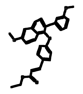 CCOC(=O)C=Cc1ccc(Oc2c(-c3cccc(OC)c3)ccc3cc(OC)ccc23)cc1